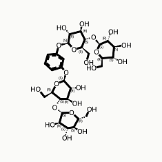 OC[C@H]1O[C@@H](O[C@H]2[C@H](O)[C@@H](O)[C@H](Oc3cccc(O[C@@H]4O[C@H](CO)[C@@H](O[C@@H]5O[C@H](CO)[C@@H](O)[C@H](O)[C@H]5O)[C@H](O)[C@H]4O)c3)O[C@@H]2CO)[C@H](O)[C@@H](O)[C@@H]1O